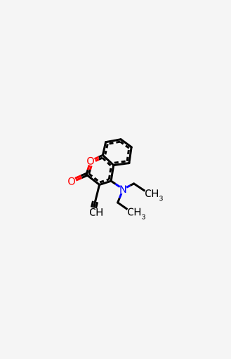 C#Cc1c(N(CC)CC)c2ccccc2oc1=O